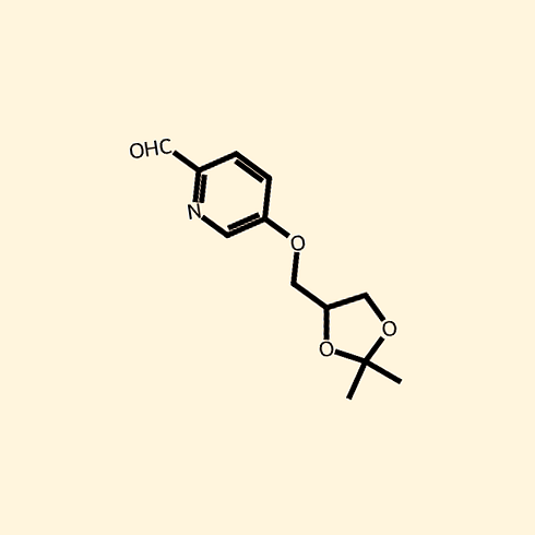 CC1(C)OCC(COc2ccc(C=O)nc2)O1